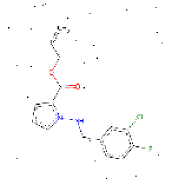 C=CCOC(=O)c1cccn1NCc1ccc(F)c(Cl)c1